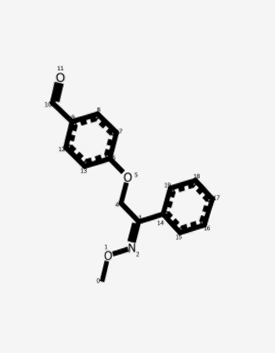 CO/N=C(\COc1ccc(C=O)cc1)c1ccccc1